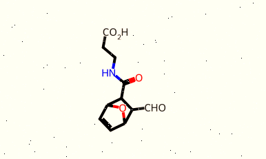 O=CC1C2C=CC(O2)C1C(=O)NCCC(=O)O